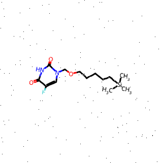 C[Si](C)(C)CCCCCOCn1cc(F)c(=O)[nH]c1=O